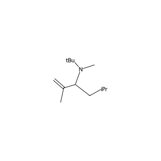 C=C(C)C(CC(C)C)N(C)C(C)(C)C